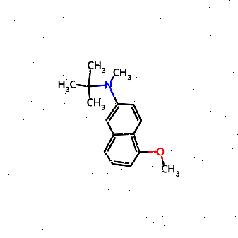 COc1cccc2cc(N(C)C(C)(C)C)ccc12